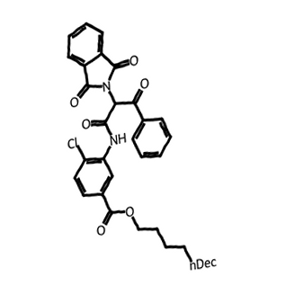 CCCCCCCCCCCCCCOC(=O)c1ccc(Cl)c(NC(=O)C(C(=O)c2ccccc2)N2C(=O)c3ccccc3C2=O)c1